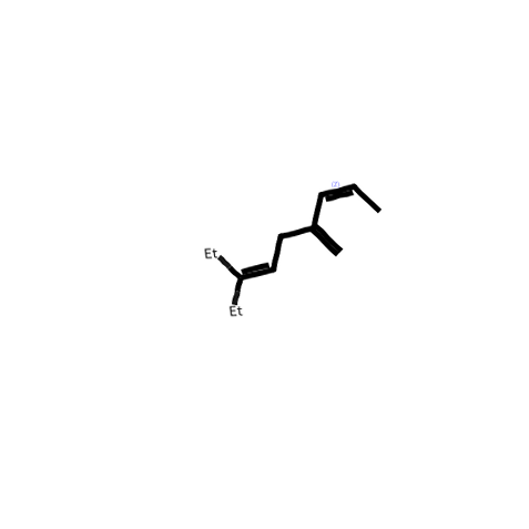 C=C(/C=C\C)CC=C(CC)CC